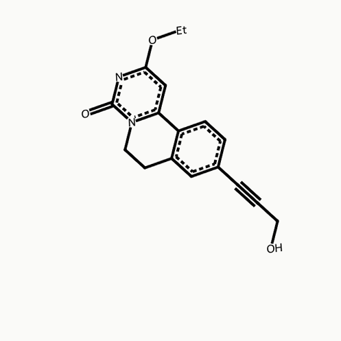 CCOc1cc2n(c(=O)n1)CCc1cc(C#CCO)ccc1-2